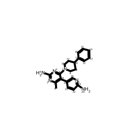 Cc1nc(N)nc(N2CCC(c3ccccc3)CC2)c1-c1ccc(N)nc1